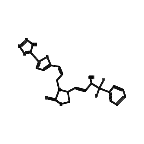 O=C1SCC(/C=C/C(O)C(F)(F)c2ccccc2)N1C/C=C\c1ccc(-c2nnn[nH]2)s1